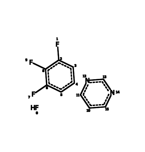 F.Fc1cccc(F)c1F.c1cncnc1